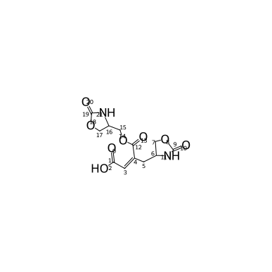 O=C(O)C=C(CC1COC(=O)N1)C(=O)OCC1COC(=O)N1